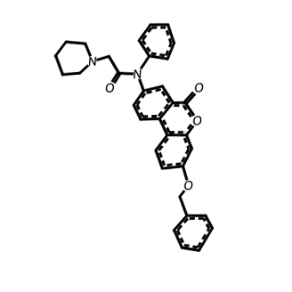 O=C(CN1CCCCC1)N(c1ccccc1)c1ccc2c(c1)c(=O)oc1cc(OCc3ccccc3)ccc12